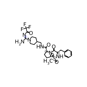 CS(=O)(=O)N[C@H](Cc1ccccc1)C(=O)N1CCC[C@H]1C(=O)NCC1CCN(/C(N)=N\C(=O)C(F)(F)F)CC1